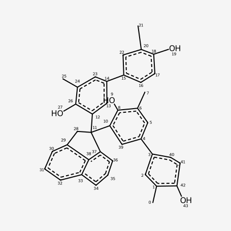 Cc1cc(-c2cc(C)c(O)c(C3(c4cc(-c5ccc(O)c(C)c5)cc(C)c4O)Cc4cccc5cccc3c45)c2)ccc1O